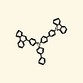 c1ccc(-c2ccc(N(c3ccc(-c4ccc(-n5c6ccccc6c6ccccc65)cc4)cc3)c3ccc(-c4cc5ccccc5c5ccccc45)cc3)cc2)cc1